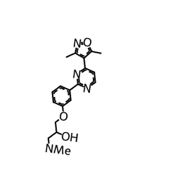 CNCC(O)COc1cccc(-c2nccc(-c3c(C)noc3C)n2)c1